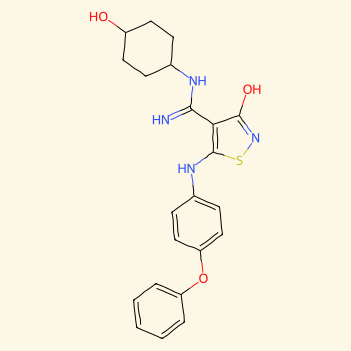 N=C(NC1CCC(O)CC1)c1c(O)nsc1Nc1ccc(Oc2ccccc2)cc1